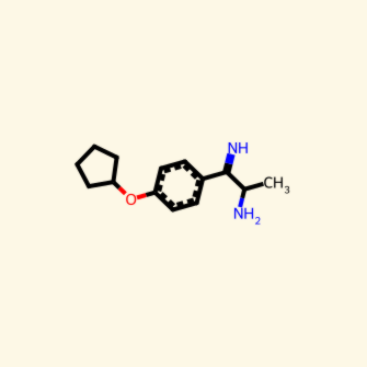 CC(N)C(=N)c1ccc(OC2CCCC2)cc1